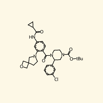 CC(C)(C)OC(=O)N1CCN(C(=O)c2ccc(NC(=O)C3CC3)cc2N2CCC3(COC3)C2)C(c2cccc(Cl)c2)C1